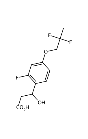 CC(F)(F)COc1ccc(C(O)CC(=O)O)c(F)c1